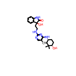 CC1(C)C[C@H](Nc2nc(NCCC3(O)C(=O)Nc4ccccc43)ncc2C#N)CC[C@@H]1O